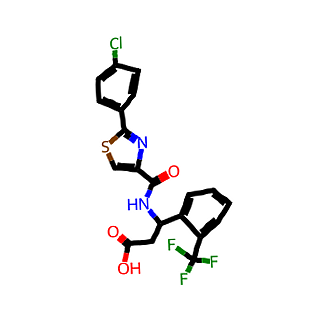 O=C(O)CC(NC(=O)c1csc(-c2ccc(Cl)cc2)n1)c1ccccc1C(F)(F)F